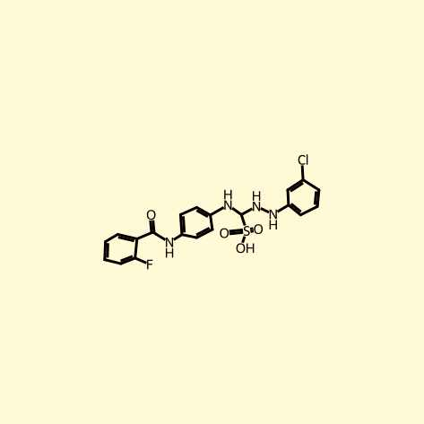 O=C(Nc1ccc(NC(NNc2cccc(Cl)c2)S(=O)(=O)O)cc1)c1ccccc1F